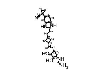 CN(C[C@H]1O[C@@H](NCN)[C@H](O)[C@@H]1O)C1CC(CCC2Nc3ccc(C4(C#N)CC4)cc3N2)C1